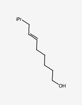 CC(C)CC=CCCCCCO